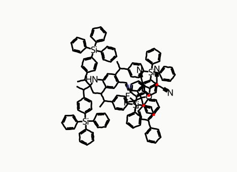 CC(c1ccc([Si](c2ccccc2)(c2ccccc2)c2ccccc2)cc1)c1cc2c(cc1/C=C/C1=C(C#N)C(=C(C#N)C#N)OC1(c1ccc(-c3ccccc3)cc1)C(F)(F)F)C(C(C)c1ccc([Si](c3ccccc3)(c3ccccc3)c3ccccc3)cc1)CC(C(C)c1ccc([Si](c3ccccc3)(c3ccccc3)c3ccccc3)cc1)(C(C)c1ccc([Si](c3ccccc3)(c3ccccc3)c3ccccc3)cc1)N2